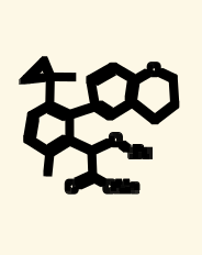 COC(=O)C(OC(C)(C)C)c1c(C)ccc(C2(C)CC2)c1-c1ccc2c(c1)CCCO2